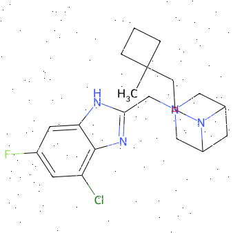 CC1(CCN2C3CC2CN(Cc2nc4c(Cl)cc(F)cc4[nH]2)C3)CCC1